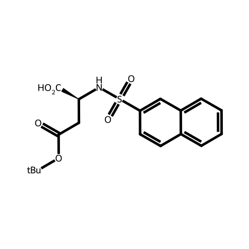 CC(C)(C)OC(=O)C[C@H](NS(=O)(=O)c1ccc2ccccc2c1)C(=O)O